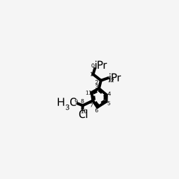 CC(C)CC(c1cccc(C(C)Cl)c1)C(C)C